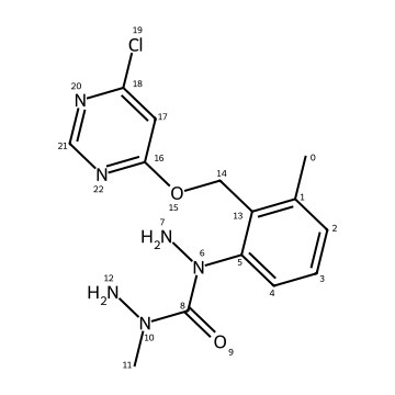 Cc1cccc(N(N)C(=O)N(C)N)c1COc1cc(Cl)ncn1